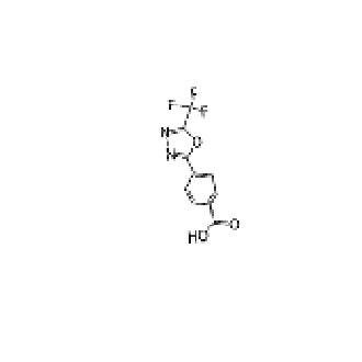 O=C(O)c1ccc(-c2nnc(C(F)(F)F)o2)cc1